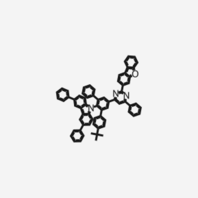 CC(C)(C)c1ccc(-c2cc(-c3cc(-c4ccccc4)nc(-c4ccc5c(c4)oc4ccccc45)n3)cc(-c3ccccc3)c2-n2c3ccc(-c4ccccc4)cc3c3cc(-c4ccccc4)ccc32)cc1